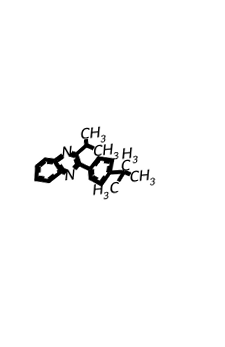 CC(C)c1nc2ccccc2nc1-c1ccc(C(C)(C)C)cc1